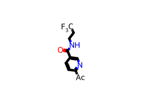 CC(=O)c1ccc(C(=O)NCCC(F)(F)F)cn1